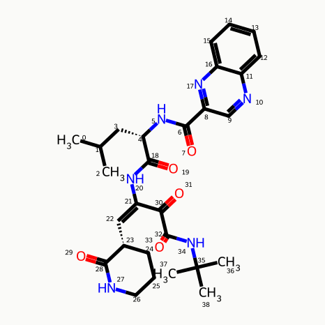 CC(C)C[C@H](NC(=O)c1cnc2ccccc2n1)C(=O)N/C(=C/[C@@H]1CCCNC1=O)C(=O)C(=O)NC(C)(C)C